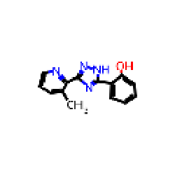 Cc1cccnc1-c1n[nH]c(-c2ccccc2O)n1